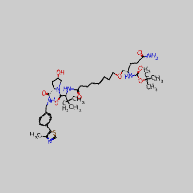 Cc1ncsc1-c1ccc(CNC(=O)[C@@H]2C[C@@H](O)CN2C(=O)[C@@H](NC(=O)CCCCCCCOC[C@H](CCC(N)=O)NC(=O)OC(C)(C)C)C(C)(C)C)cc1